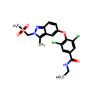 Cc1c2cc(Oc3c(Br)cc(C(=O)NCC(=O)O)cc3Br)ccc2nn1CS(C)(=O)=O